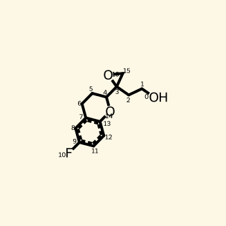 OCCC1(C2CCc3cc(F)ccc3O2)CO1